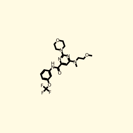 COCCN(C)c1cc(C(=O)Nc2cccc(OC(F)(F)F)c2)nc(N2CCOCC2)n1